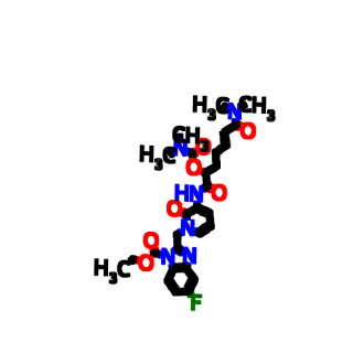 CCOC(=O)n1c(Cn2cccc(NC(=O)C(CC/C=C/C(=O)N(C)C)OC(=O)N(C)C)c2=O)nc2cc(F)ccc21